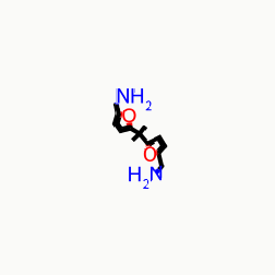 CC(C)(c1ccc(CN)o1)c1ccc(CN)o1